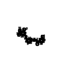 COc1cc(C=Cc2cccc(NC=CC(=O)c3cccc(Cl)c3)c2)cc(OC)c1OC